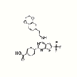 O=C(O)C1CCC(c2nc(NCCc3ccc4c(c3)OCCO4)c3cc(C(F)(F)F)sc3n2)CC1